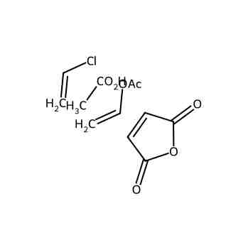 C=CCl.C=COC(C)=O.CC(=O)O.O=C1C=CC(=O)O1